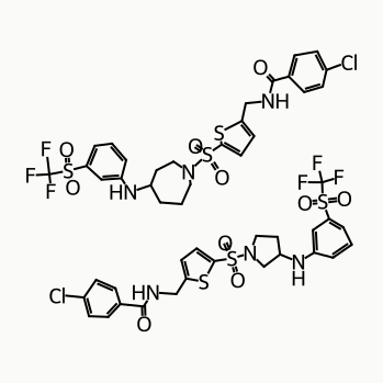 O=C(NCc1ccc(S(=O)(=O)N2CCC(Nc3cccc(S(=O)(=O)C(F)(F)F)c3)C2)s1)c1ccc(Cl)cc1.O=C(NCc1ccc(S(=O)(=O)N2CCCC(Nc3cccc(S(=O)(=O)C(F)(F)F)c3)CC2)s1)c1ccc(Cl)cc1